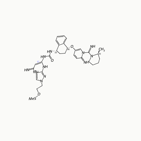 CSOCCn1ccc(N/C(=C\C(=N)C(C)(C)C)NC(=O)N[C@H]2CC[C@@H](Oc3ccc(=N)n(C(=N)N4CCCC[C@@H]4C)c3)c3ccccc32)n1